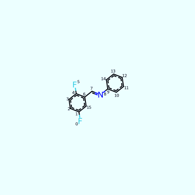 Fc1ccc(F)c(C=Nc2ccccc2)c1